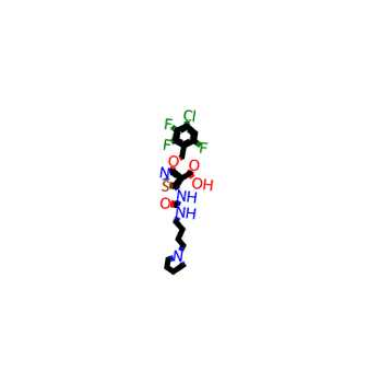 O=C(NCCCCN1CCCC1)Nc1snc(OCc2c(F)cc(Cl)c(F)c2F)c1C(=O)O